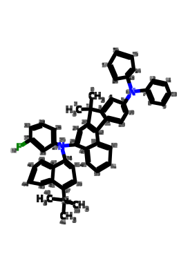 CC1(C)c2cc(N(c3ccccc3)c3ccccc3)ccc2-c2c1cc(N(c1cccc(F)c1)c1ccc([Si](C)(C)C)c3ccccc13)c1ccccc21